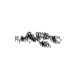 COC(=O)c1nc(N(CCCCO[Si](C)(C)C(C)(C)C)c2cc(C)c(/N=c3\sc4ccccc4n3COCC[Si](C)(C)C)nn2)sc1CCCOc1ccc(/C=C/CN(C)C(=O)OC(C)(C)C)cc1F